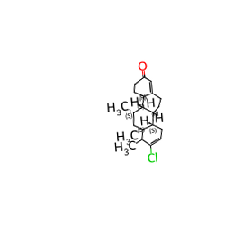 CC1C(Cl)=CC[C@H]2[C@@H]3CCC4=CC(=O)CC[C@@H]4[C@H]3[C@@H](C)C[C@]12C